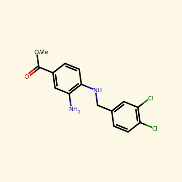 COC(=O)c1ccc(NCc2ccc(Cl)c(Cl)c2)c(N)c1